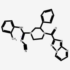 Cc1ccccc1N/C(=N/C#N)N1CCN(C(=O)c2nc3ncccn3n2)C(c2ccccc2)C1